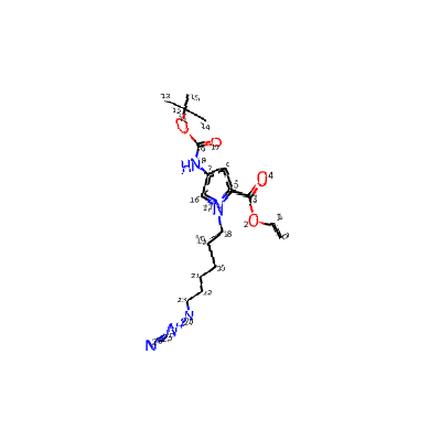 CCOC(=O)c1cc(NC(=O)OC(C)(C)C)cn1CCCCCCN=[N+]=[N-]